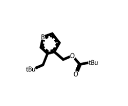 CC(C)(C)Cc1cbccc1COC(=O)C(C)(C)C